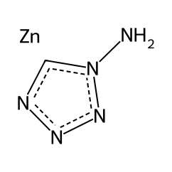 Nn1cnnn1.[Zn]